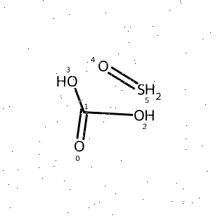 O=C(O)O.O=[SH2]